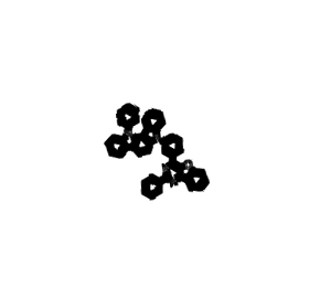 c1ccc(-c2nc(-c3cccc(-n4c5ccccc5c5c4ccc4c6ccccc6n(-c6ccccc6)c45)c3)c3oc4ccccc4c3n2)cc1